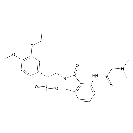 CCOc1cc(C(CN2Cc3cccc(NC(=O)CN(C)C)c3C2=O)S(C)(=O)=O)ccc1OC